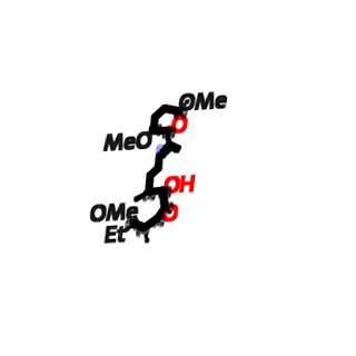 CC[C@H](OC)[C@@H](C)[C@@H]1O[C@H]1[C@H](O)[C@@H](C)CC/C=C(\C)[C@@H]1O[C@@H](OC)CC[C@@H]1OC